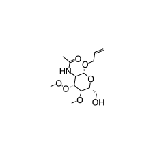 C=CCO[C@@H]1O[C@H](CO)[C@@H](OC)[C@H](OOC)[C@H]1NC(C)=O